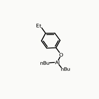 CCC[CH2][Al]([CH2]CCC)[O]c1ccc(CC)cc1